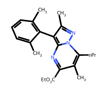 CCCc1c(C)c(C(=O)OCC)nc2c(-c3c(C)cccc3C)c(C)nn12